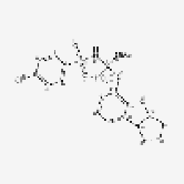 COC(NS(=O)(=O)c1ccc(Cl)cc1)(Oc1cccc2c1OC1CCCC21)C(=O)O